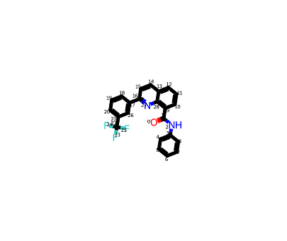 O=C(Nc1ccccc1)c1cccc2ccc(-c3cccc(C(F)(F)F)c3)nc12